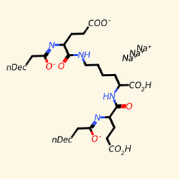 CCCCCCCCCCCC([O-])=NC(CCC(=O)[O-])C(=O)NCCCCC(NC(=O)C(CCC(=O)O)N=C([O-])CCCCCCCCCCC)C(=O)O.[Na+].[Na+].[Na+]